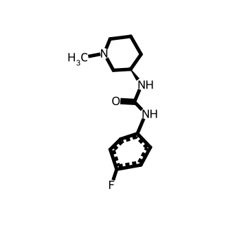 CN1CCC[C@@H](NC(=O)Nc2ccc(F)cc2)C1